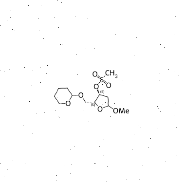 COC1C[C@H](OS(C)(=O)=O)[C@@H](COC2CCCCO2)O1